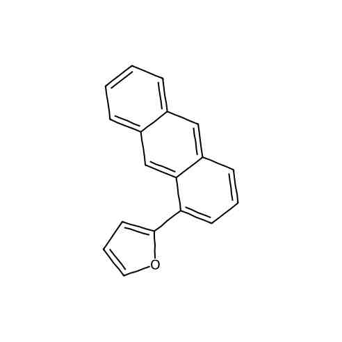 c1coc(-c2cccc3cc4ccccc4cc23)c1